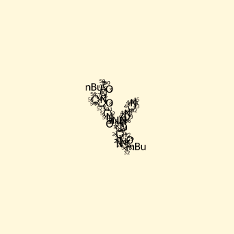 CCCCC1(C(=O)OCn2c(=O)c(C3CCN(C(=O)N[C@H](Cc4cc(C)c5c(cnn5C(=O)C5(CCCC)CC5)c4)C(=O)N4CCN(C5CCN(C)CC5)CC4)CC3)cc3ccccc32)CC1